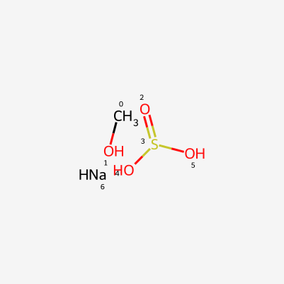 CO.O=S(O)O.[NaH]